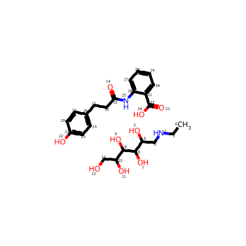 CCNCC(O)C(O)C(O)C(O)CO.O=C(CCc1ccc(O)cc1)Nc1ccccc1C(=O)O